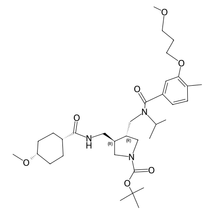 COCCCOc1cc(C(=O)N(C[C@@H]2CN(C(=O)OC(C)(C)C)C[C@H]2CNC(=O)[C@H]2CC[C@@H](OC)CC2)C(C)C)ccc1C